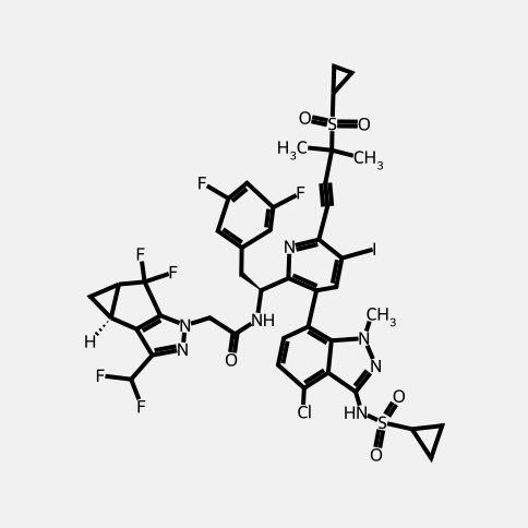 Cn1nc(NS(=O)(=O)C2CC2)c2c(Cl)ccc(-c3cc(I)c(C#CC(C)(C)S(=O)(=O)C4CC4)nc3[C@H](Cc3cc(F)cc(F)c3)NC(=O)Cn3nc(C(F)F)c4c3C(F)(F)C3C[C@H]43)c21